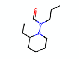 CCCN([C]=O)N1CCCCC1CC